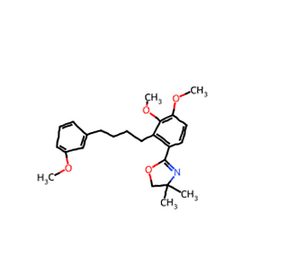 COc1cccc(CCCCc2c(C3=NC(C)(C)CO3)ccc(OC)c2OC)c1